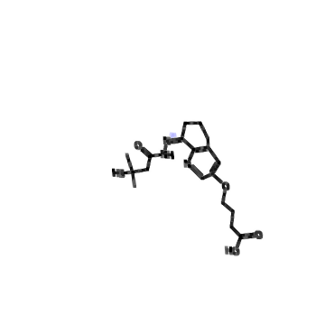 CC(C)(S)CC(=O)N/N=C1/CCCc2cc(OCCCC(=O)O)cnc21